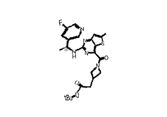 Cc1cc2nc(N[C@@H](C)c3cncc(F)c3)nc(C(=O)N3CC(CC(=O)OC(C)(C)C)C3)c2s1